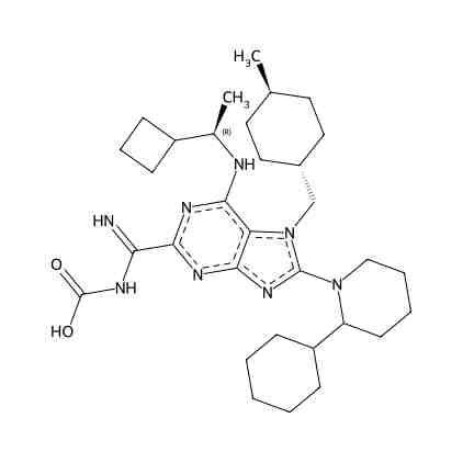 C[C@@H](Nc1nc(C(=N)NC(=O)O)nc2nc(N3CCCCC3C3CCCCC3)n(C[C@H]3CC[C@H](C)CC3)c12)C1CCC1